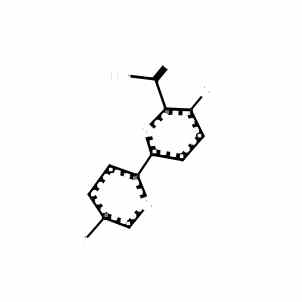 Nc1ccc(-c2ccc(Cl)cn2)nc1C(=O)O